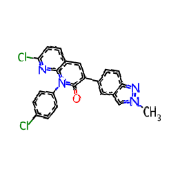 Cn1cc2cc(-c3cc4ccc(Cl)nc4n(-c4ccc(Cl)cc4)c3=O)ccc2n1